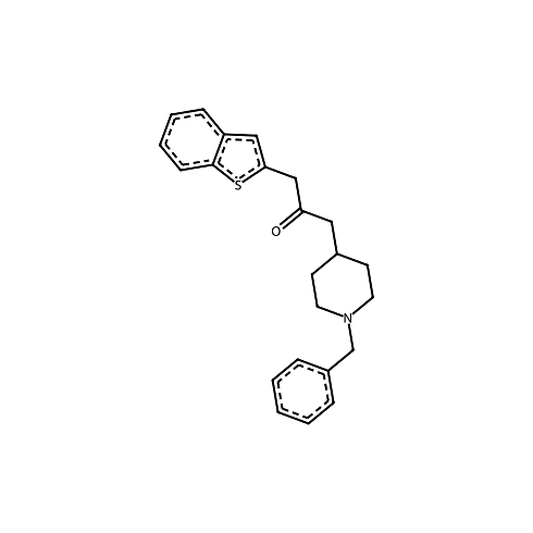 O=C(Cc1cc2ccccc2s1)CC1CCN(Cc2ccccc2)CC1